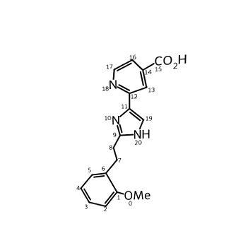 COc1ccccc1CCc1nc(-c2cc(C(=O)O)ccn2)c[nH]1